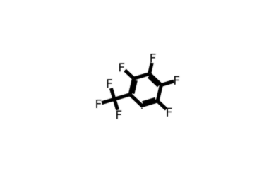 Fc1[c]c(C(F)(F)F)c(F)c(F)c1F